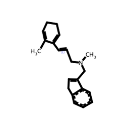 CC1=CCCC=C1/C=C/CN(C)CC1=CCc2ccccc21